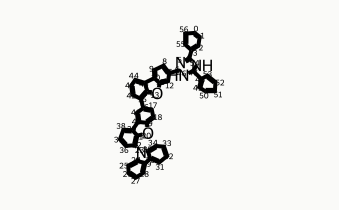 c1ccc(C2=NC(c3ccc4c(c3)oc3c(-c5ccc6oc7c(-n8c9ccccc9c9ccccc98)cccc7c6c5)cccc34)NC(c3ccccc3)N2)cc1